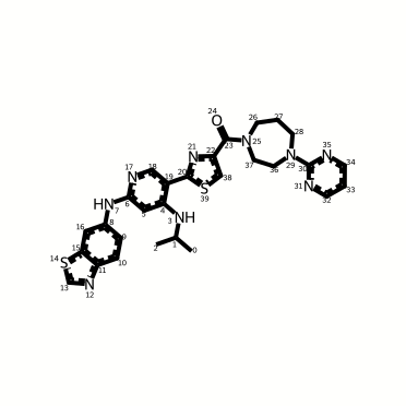 CC(C)Nc1cc(Nc2ccc3ncsc3c2)ncc1-c1nc(C(=O)N2CCCN(c3ncccn3)CC2)cs1